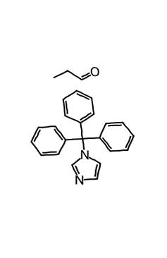 CCC=O.c1ccc(C(c2ccccc2)(c2ccccc2)n2ccnc2)cc1